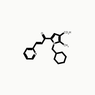 Cc1c(C(=O)O)cc(C(=O)C=Cc2ccccn2)n1CC1CCCCC1